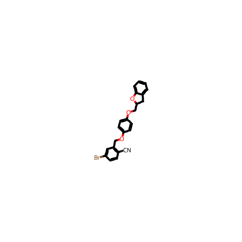 N#Cc1ccc(Br)cc1COc1ccc(OCC2Cc3ccccc3O2)cc1